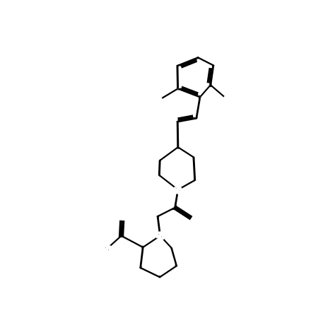 Cc1cccc(C)c1/C=C/C1CCN(C(=O)CN2CCCCC2C(N)=O)CC1